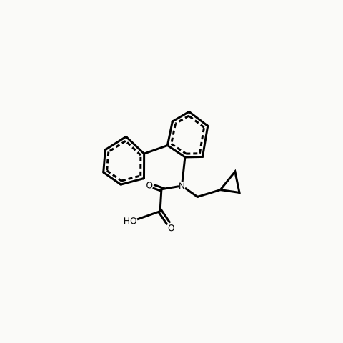 O=C(O)C(=O)N(CC1CC1)c1ccccc1-c1ccccc1